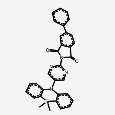 C[Si]1(C)c2ccccc2N(c2cnc(N3C(=O)c4ccc(-c5ccccc5)cc4C3=O)nc2)c2ccccc21